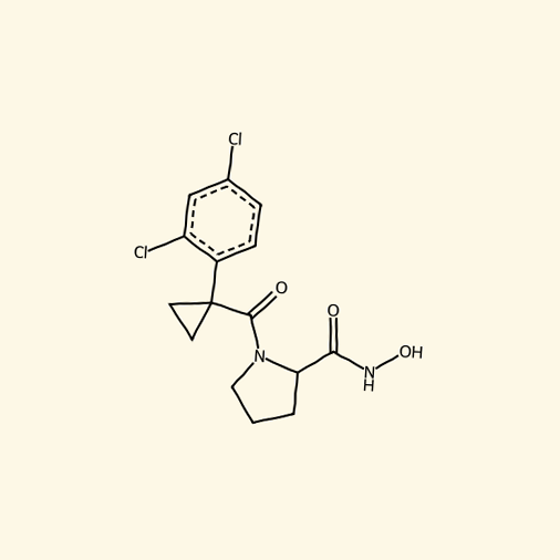 O=C(NO)C1CCCN1C(=O)C1(c2ccc(Cl)cc2Cl)CC1